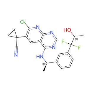 C[C@@H](Nc1ncnc2nc(Cl)c(C3(C#N)CC3)cc12)c1cccc(C(F)(F)[C@@H](C)O)c1